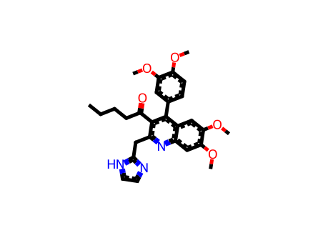 CCCCC(=O)c1c(Cc2ncc[nH]2)nc2cc(OC)c(OC)cc2c1-c1ccc(OC)c(OC)c1